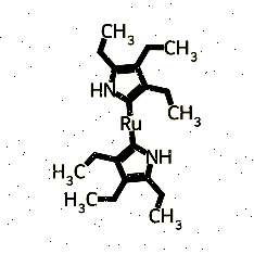 CCc1[nH][c]([Ru][c]2[nH]c(CC)c(CC)c2CC)c(CC)c1CC